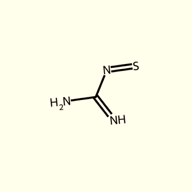 N=C(N)N=S